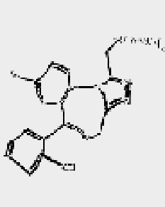 CN(O)Cc1nnc2n1-c1ccc(Br)cc1C(c1ccccc1Cl)=NC2